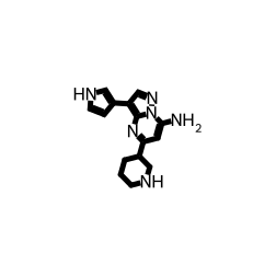 Nc1cc(C2CCCNC2)nc2c(-c3cc[nH]c3)cnn12